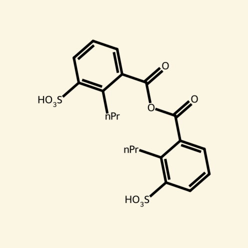 CCCc1c(C(=O)OC(=O)c2cccc(S(=O)(=O)O)c2CCC)cccc1S(=O)(=O)O